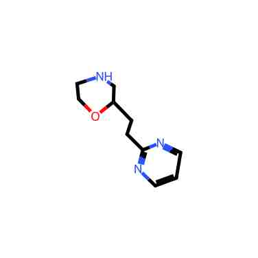 c1cnc(CCC2CNCCO2)nc1